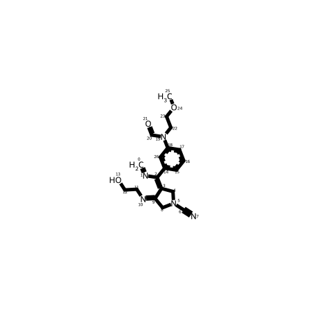 C=N/C(=C1/CN(C#N)C/C1=N/CCO)c1cccc(N(C=O)CCOC)c1